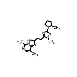 CC1=CN=C(C)N2NC(CCc3nc(N4CCCC4C)nn3C)N=C12